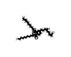 CCCCCCCCCCOC(=O)C1=C(C(=O)OCCCCCCCCCC)CC(CCC=C(C)CCC=C(C)C)=CC1